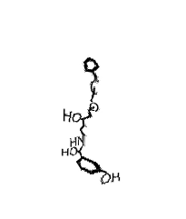 OCc1cccc(C(O)CNCCCC(O)CCOCCCCc2ccccc2)c1